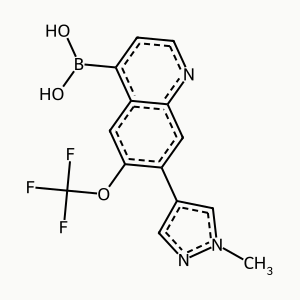 Cn1cc(-c2cc3nccc(B(O)O)c3cc2OC(F)(F)F)cn1